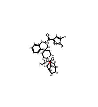 Cc1cc(C(=O)N2Cc3ccccc3C3(CCN(C4CC5CCC(C4)N5C(=O)OC(C)C)CC3)C2)nn1C